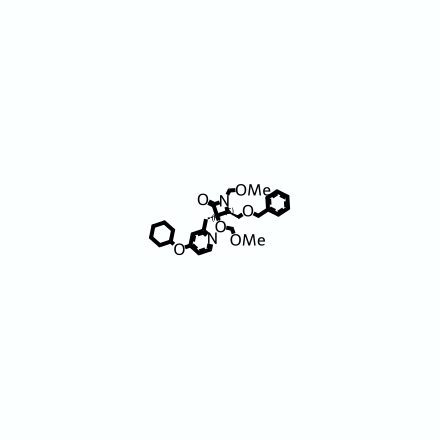 COCO[C@@]1(Cc2cc(OC3CCCCC3)ccn2)C(=O)N(COC)[C@H]1COCc1ccccc1